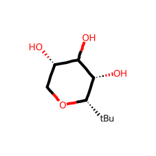 CC(C)(C)[C@@H]1OC[C@H](O)C(O)[C@@H]1O